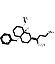 CSCC/C(C(=O)O)=C1/CC[C@@]2(Cc3ccccc3)CCC[C@H](CN)[C@@H]2C1